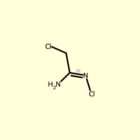 N/C(CCl)=N\Cl